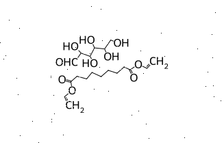 C=COC(=O)CCCCCCCC(=O)OC=C.O=CC(O)C(O)C(O)C(O)CO